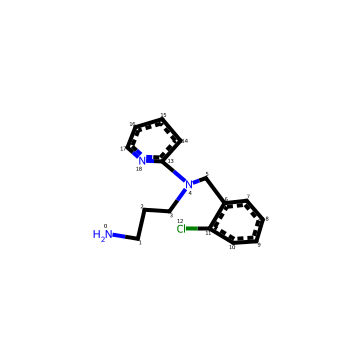 NCCCN(Cc1ccccc1Cl)c1ccccn1